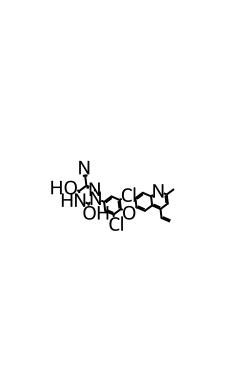 C=Cc1cc(C)nc2ccc(Oc3c(Cl)cc(N4N=C(C#N)C(O)NC4O)cc3Cl)cc12